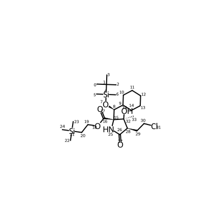 CC(C)(C)[Si](C)(C)O[C@@H](C1CCCCC1)[C@@]1(C(=O)OCC[Si](C)(C)C)NC(=O)[C@H](CCCl)[C@]1(C)O